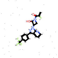 C=C(F)C(=O)N1CC(n2nc(-c3ccc(C(F)(F)F)cc3)c3cccnc32)C1O